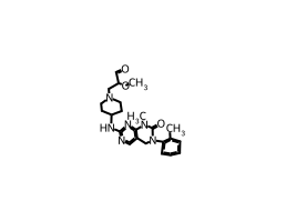 COC(C=O)CN1CCC(Nc2ncc3c(n2)N(C)C(=O)N(c2ccccc2C)C3)CC1